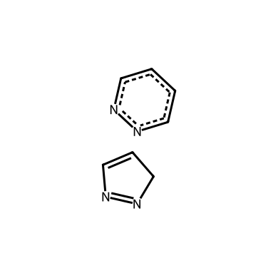 C1=CN=NC1.c1ccnnc1